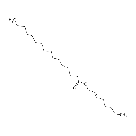 CCCCC/C=C/COC(=O)CCCCCCCCCCCCCCC